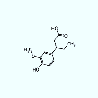 CCC(CC(=O)O)c1ccc(O)c(OC)c1